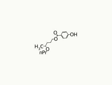 CCCOC(C)CCCOC(=O)c1ccc(O)cc1